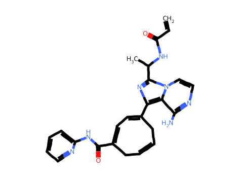 C=CC(=O)NC(C)c1nc(/C2=C/C=C(/C(=O)Nc3ccccn3)C/C=C\C2)c2c(N)nccn12